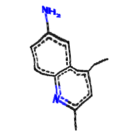 Cc1cc(C)c2cc(N)ccc2n1